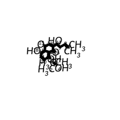 CC(C)(C)O.CC(C)=CC[C@@H](O)C1=CC(=O)c2c(O)ccc(O)c2C1=O